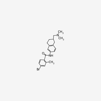 Cc1cc(Br)ccc1C(=O)Nc1ccc2c(c1)CCC(CN(C)C)C2